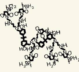 BP(I)C1CC(=O)N(CCNCCN(CCNCCN2C(=O)CC(B(P)I)C2=O)Cc2cc(C(C)(C)c3ccc(O)c(CN(CCNCCN4C(=O)CC(P(B)I)C4=O)CCN(CCN4C(=O)CC(B(P)I)C4=O)Cc4cc(C(C)(C)c5ccc(O)c(CN(CCNCCN6C(=O)CC(B(P)I)C6=O)CCNCCN6C(=O)CC(P(B)I)C6=O)c5)ccc4O)c3)ccc2O)C1=O